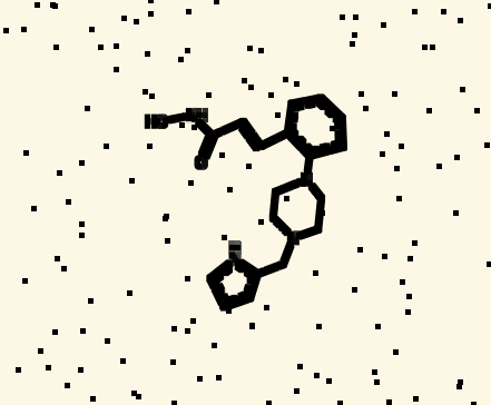 O=C(C=Cc1ccccc1N1CCN(Cc2ccc[nH]2)CC1)NO